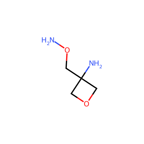 NOCC1(N)COC1